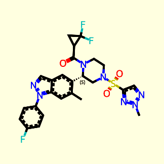 Cc1cc2c(cnn2-c2ccc(F)cc2)cc1[C@H]1CN(S(=O)(=O)c2cnn(C)n2)CCN1C(=O)C1CC1(F)F